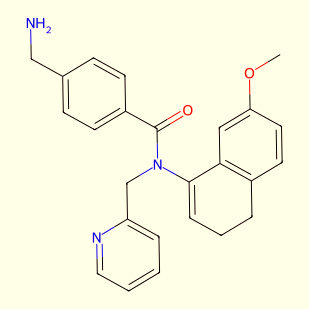 COc1ccc2c(c1)C(N(Cc1ccccn1)C(=O)c1ccc(CN)cc1)=CCC2